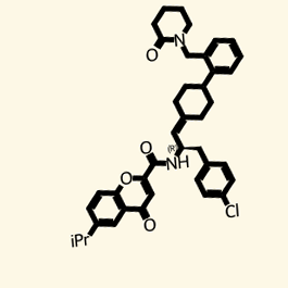 CC(C)c1ccc2oc(C(=O)N[C@@H](C=C3CCC(c4ccccc4CN4CCCCC4=O)CC3)Cc3ccc(Cl)cc3)cc(=O)c2c1